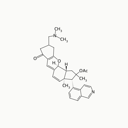 CC(=O)OC1(C)C[C@H]2[C@@H]3OC4=C(C=C3C=C[C@]2(C)[C@H]1c1cccc2cnccc12)C(=O)CC(CN(C)C)C4